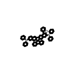 c1ccc(N(c2ccccc2)c2ccc3cc4c(cc3c2)C2(c3ccccc3-c3ccccc32)c2cc3cc(N(c5ccccc5)c5ccccc5)c5oc6ccccc6c5c3cc2-4)cc1